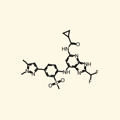 Cc1cc(-c2ccc(Nc3cc(NC(=O)C4CC4)nc4[nH]c(C(F)F)nc34)c(S(C)(=O)=O)c2)nn1C